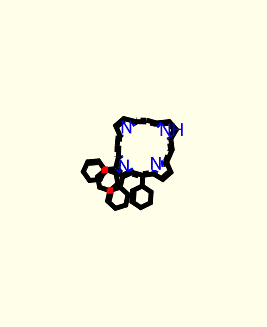 C1=CC(c2c(C3C=CCCC3)c3c(C4C=CCCC4)c4nc(cc5ccc(cc6nc(cc2n3C2C=CCCC2)C=C6)[nH]5)C=C4)CCC1